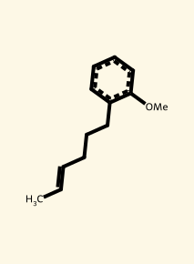 CC=CCCCc1ccccc1OC